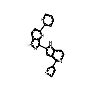 c1ccc(-c2ccc3[nH]nc(-c4cc5c(-c6ccsc6)nccc5[nH]4)c3n2)nc1